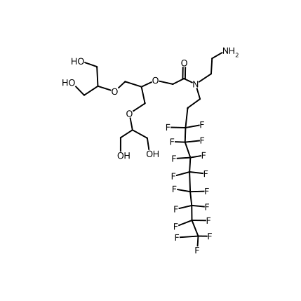 NCCN(CCC(F)(F)C(F)(F)C(F)(F)C(F)(F)C(F)(F)C(F)(F)C(F)(F)C(F)(F)F)C(=O)COC(COC(CO)CO)COC(CO)CO